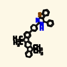 CC1(C)C2=CC3C4=CCCC=C4C(C)(C)C3C=C2c2cc(C3=CC=C(C4=Nc5sc6ccccc6c5C(c5ccccc5)N4)CC3)ccc21